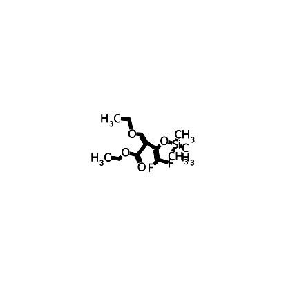 CCO/C=C(\C(=O)OCC)C(O[Si](C)(C)C)=C(F)F